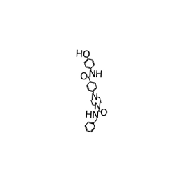 O=C(Nc1ccc(O)cc1)c1ccc(N2CCN(C(=O)NCc3ccccc3)CC2)cc1